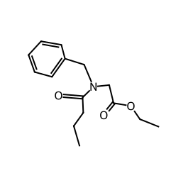 CCCC(=O)N(CC(=O)OCC)Cc1ccccc1